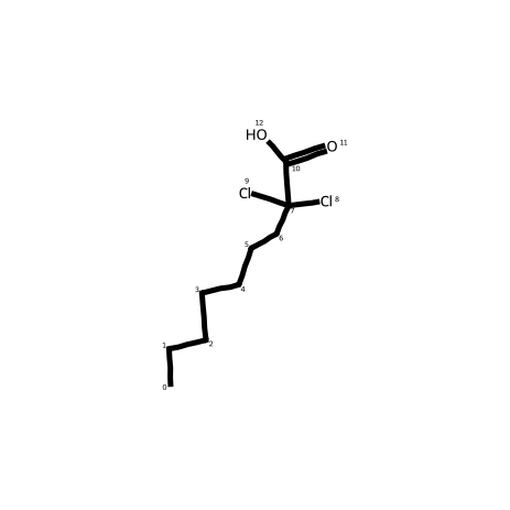 CCCCCCCC(Cl)(Cl)C(=O)O